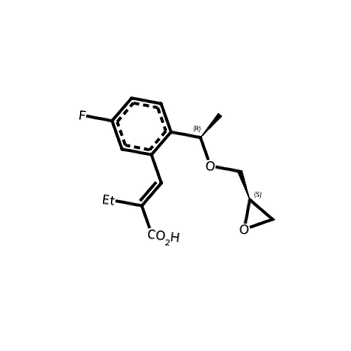 CCC(=Cc1cc(F)ccc1[C@@H](C)OC[C@H]1CO1)C(=O)O